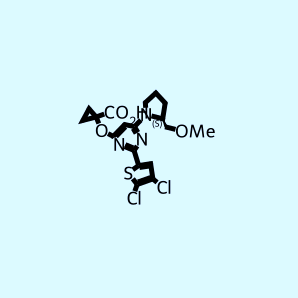 COC[C@@H]1CCCN1c1cc(OC2(C(=O)O)CC2)nc(-c2cc(Cl)c(Cl)s2)n1